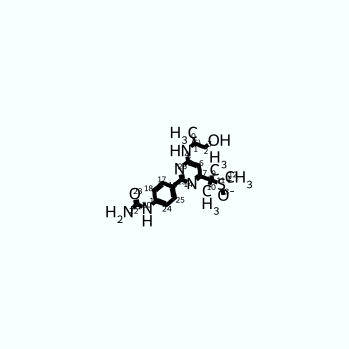 C[C@@H](CO)Nc1cc(C(C)(C)[S+](C)[O-])nc(-c2ccc(NC(N)=O)cc2)n1